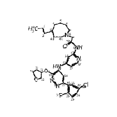 CCCC1CCCCN(CC(=O)Nc2cc(Nc3cc(-c4cc(Cl)ccc4F)nnc3OC3CCOC3)ccn2)CC1